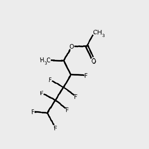 CC(=O)OC(C)C(F)C(F)(F)C(F)(F)C(F)F